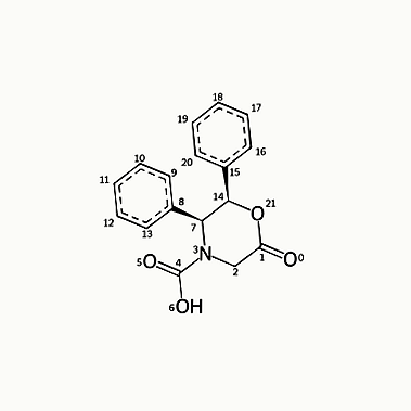 O=C1CN(C(=O)O)[C@@H](c2ccccc2)[C@@H](c2ccccc2)O1